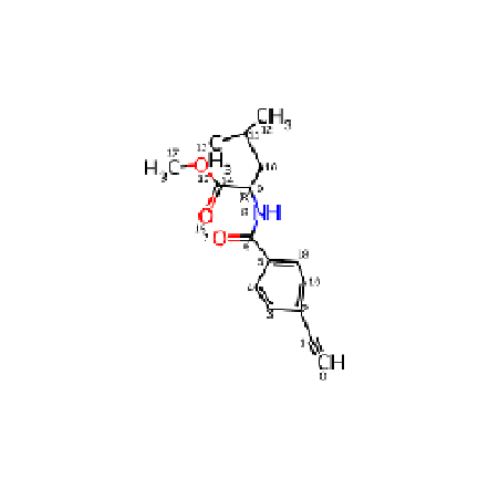 C#Cc1ccc(C(=O)N[C@H](CC(C)C)C(=O)OC)cc1